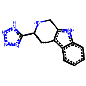 c1ccc2c3c([nH]c2c1)CNC(c1nnn[nH]1)C3